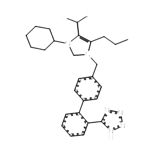 CCCC1=C(C(F)F)N(C2CCCCC2)CN1Cc1ccc(-c2ccccc2-c2nnn[nH]2)cc1